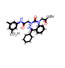 Cc1cc(NC(=O)CN2N=C(C3CCCCC3)c3ccccc3N(CC(=O)C(C)(C)C)C2=O)cc(C(=O)O)c1